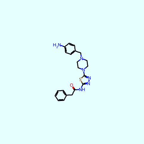 Nc1ccc(CN2CCN(c3nnc(NC(=O)Cc4ccccc4)s3)CC2)cc1